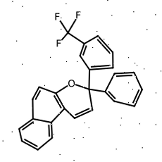 FC(F)(F)c1cccc(C2(c3ccccc3)C=Cc3c(ccc4ccccc34)O2)c1